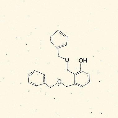 Oc1cccc(COCc2ccccc2)c1COCc1ccccc1